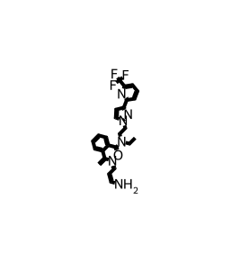 C=C(/N=C\C=C/N)c1ccccc1C(=O)N(CC)CCn1ccc(-c2cccc(C(F)(F)F)n2)n1